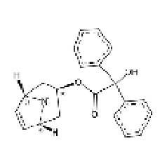 CN1[C@@H]2C=C[C@H]1C[C@H](OC(=O)C(O)(c1ccccc1)c1ccccc1)C2